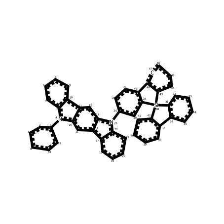 c1ccc(-n2c3ccccc3c3cc4c(cc32)c2ccccc2n4-c2ccc3c(c2)[Si]2(c4ccccc4-c4ccccc42)c2ccccc2-3)cc1